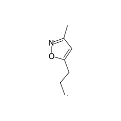 [CH2]CCc1cc(C)no1